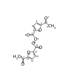 CC(=O)c1ccc(C(=O)OOC(=O)c2ccc(C(C)=O)o2)o1